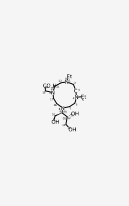 CCN1CCN(CC)CCN([C@H](CO)[C@H](O)CO)CCN(CC(=O)O)CC1